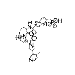 Cc1ccncc1C1CN(C(=O)[C@@H]2CC[C@@H]3CCCC(NC(=O)c4cc5cc(CP(=O)(O)O)ccc5s4)C(=O)N32)C1